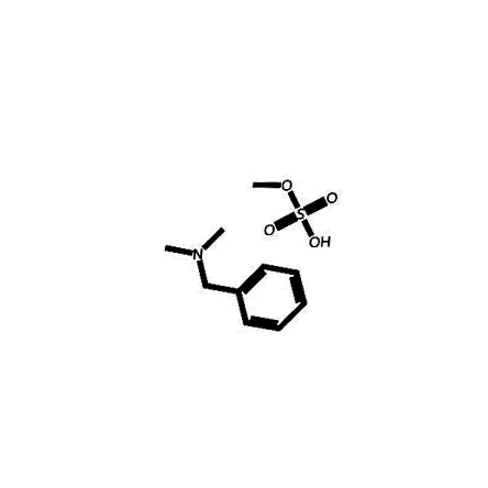 CN(C)Cc1ccccc1.COS(=O)(=O)O